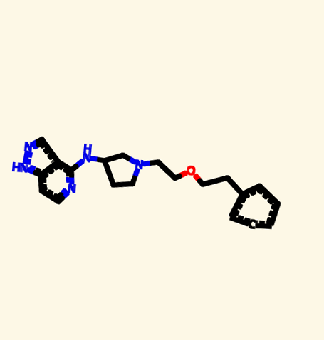 c1ccc(CCOCCN2CCC(Nc3nccc4[nH]ncc34)C2)cc1